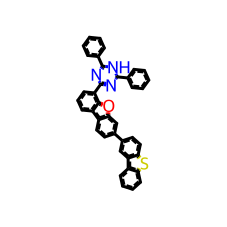 c1ccc(C2=NC(c3cccc4c3oc3cc(-c5ccc6sc7ccccc7c6c5)ccc34)=NC(c3ccccc3)N2)cc1